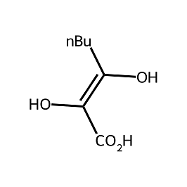 CCCCC(O)=C(O)C(=O)O